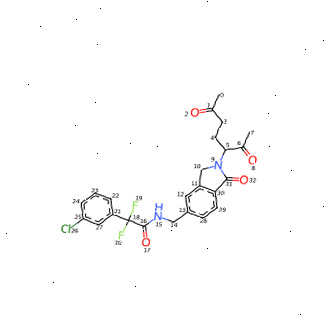 CC(=O)CCC(C(C)=O)N1Cc2cc(CNC(=O)C(F)(F)c3cccc(Cl)c3)ccc2C1=O